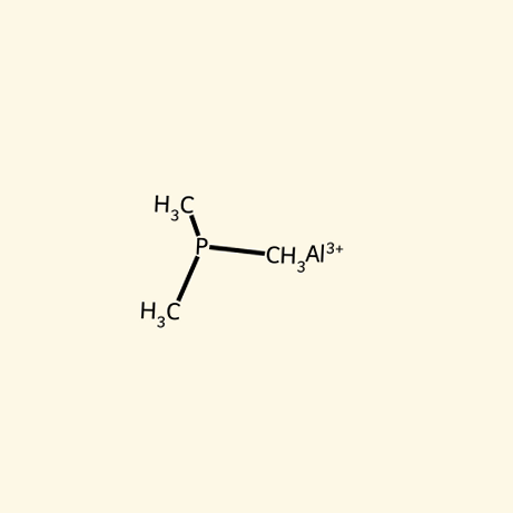 CP(C)C.[Al+3]